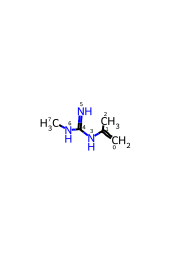 C=C(C)NC(=N)NC